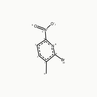 Cc1ccc([N+](=O)[O-])nc1Br